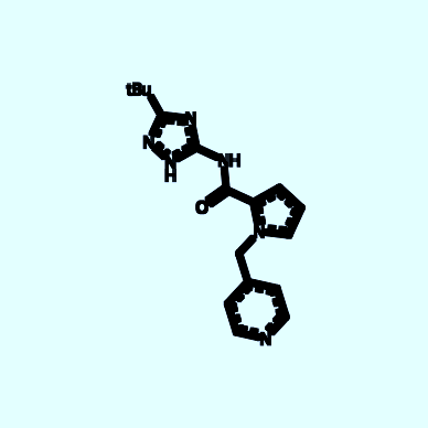 CC(C)(C)c1n[nH]c(NC(=O)c2cccn2Cc2ccncc2)n1